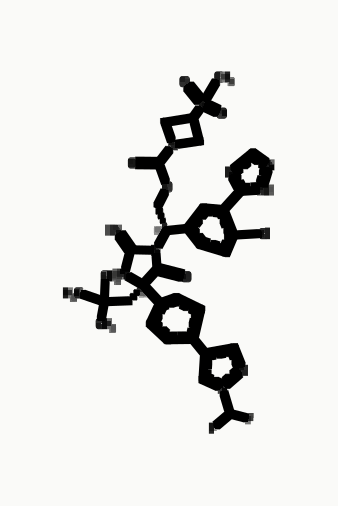 CC(C)(C)C[C@]1(c2ccc(-c3cnn(C(F)F)c3)cc2)NC(=N)N([C@H](COC(=O)N2CC(S(C)(=O)=O)C2)c2ccc(Cl)c(-c3ncn[nH]3)c2)C1=O